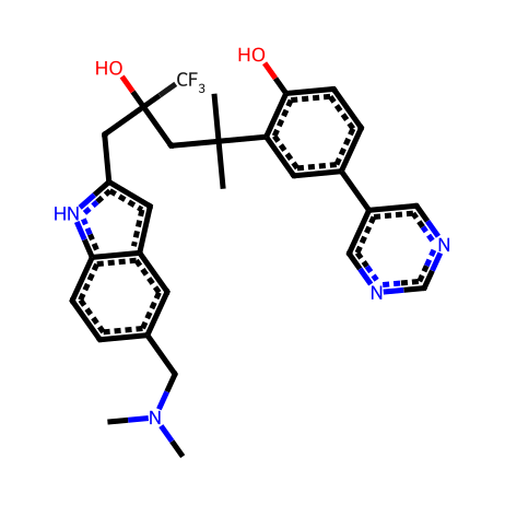 CN(C)Cc1ccc2[nH]c(CC(O)(CC(C)(C)c3cc(-c4cncnc4)ccc3O)C(F)(F)F)cc2c1